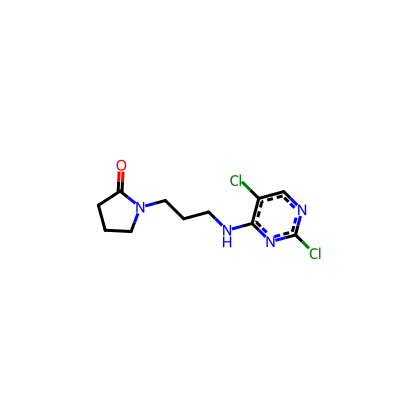 O=C1CCCN1CCCNc1nc(Cl)ncc1Cl